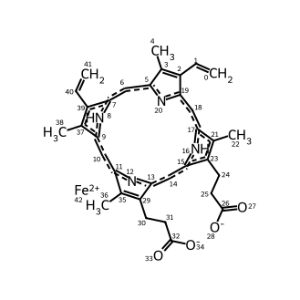 C=CC1=C(C)c2cc3[nH]c(cc4nc(cc5[nH]c(cc1n2)c(C)c5CCC(=O)[O-])C(CCC(=O)[O-])=C4C)c(C)c3C=C.[Fe+2]